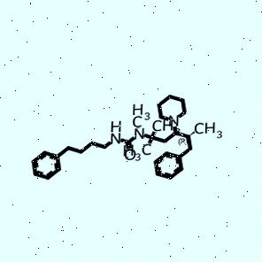 C[C@H](Cc1ccccc1)C(CC(C)(C)N(C)C(=O)NCCCCc1ccccc1)N1CCCCC1